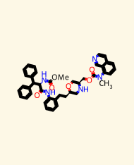 COC(=O)N[C@H](C(=O)Nc1ccccc1CC[C@@H]1CN[C@H](COC(=O)N(C)c2cccc3ccncc23)CO1)C(c1ccccc1)c1ccccc1